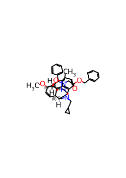 CO[C@]12C=C[C@@]3(C[C@@H]1C(NCC(=O)OCc1ccccc1)c1ccccc1)[C@H]1Cc4ccc(C)c5c4[C@@]3(CCN1CC1CC1)[C@H]2O5